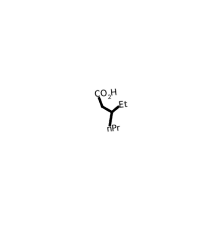 C[CH]CC(CC)CC(=O)O